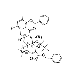 Cc1cc(F)c2c(c1OCc1ccccc1)C(=O)C1=C(O)[C@]3(O[Si](C)(C)C(C)(C)C)C(=O)c4c(OCc5ccccc5)noc4[C@@H](N(C)C)[C@@H]3C[C@@H]1C2